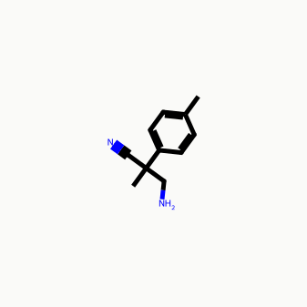 Cc1ccc(C(C)(C#N)CN)cc1